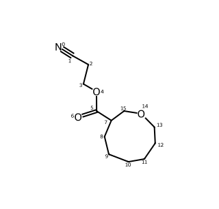 N#CCCOC(=O)C1CCCCCCOC1